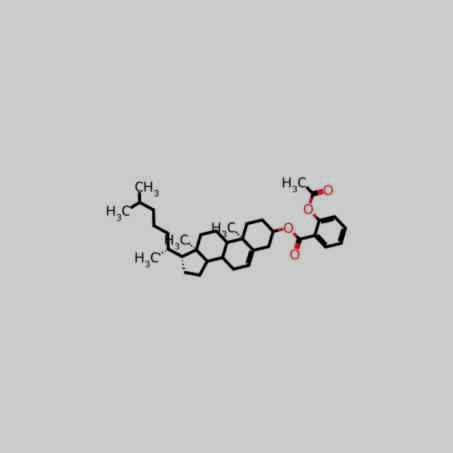 CC(=O)Oc1ccccc1C(=O)OC1CC[C@@]2(C)C(=CCC3C2CC[C@@]2(C)C3CC[C@@H]2[C@H](C)CCCC(C)C)C1